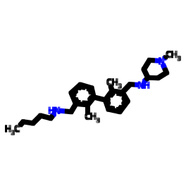 CCCCCNCc1cccc(-c2cccc(CNC3CCN(C)CC3)c2C)c1C